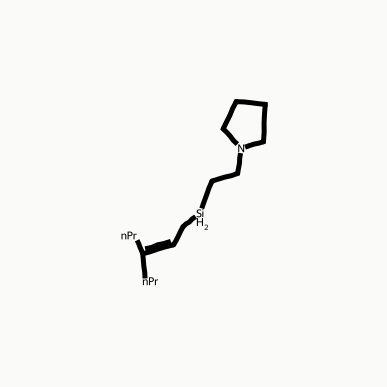 CCCC(=CC[SiH2]CCN1CCCC1)CCC